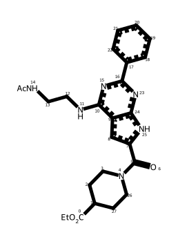 CCOC(=O)C1CCN(C(=O)c2cc3c(NCCNC(C)=O)nc(-c4ccccc4)nc3[nH]2)CC1